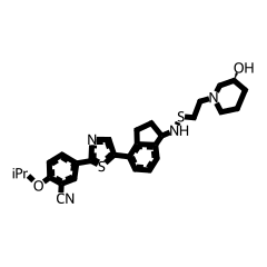 CC(C)Oc1ccc(-c2ncc(-c3cccc4c3CCC4NSCCN3CCC[C@@H](O)C3)s2)cc1C#N